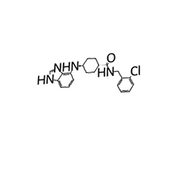 O=C(NCc1ccccc1Cl)[C@H]1CC[C@H](Nc2cccc3[nH]cnc23)CC1